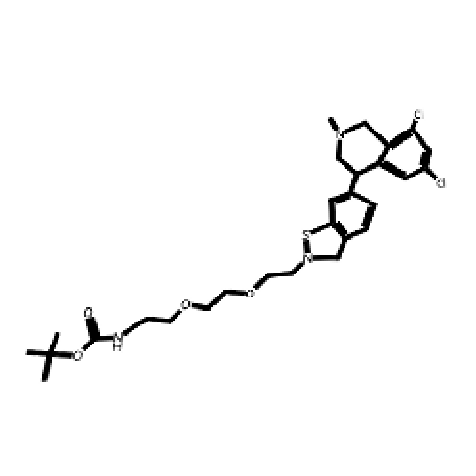 CN1Cc2c(Cl)cc(Cl)cc2C(c2ccc3c(c2)SN(CCOCCOCCNC(=O)OC(C)(C)C)C3)C1